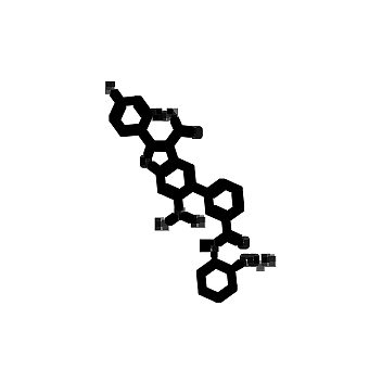 CCOC(=O)[C@H]1CCCC[C@@H]1NC(=O)c1cccc(-c2cc3c(C(=O)NC)c(-c4ccc(F)cc4)oc3cc2N(CC)CC)c1